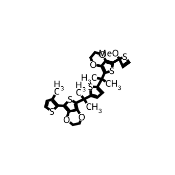 COC1(c2sc(C(C)(C)c3ccc(C(C)(C)c4sc(-c5sccc5C)c5c4OCCO5)s3)c3c2OCCO3)C=CS1